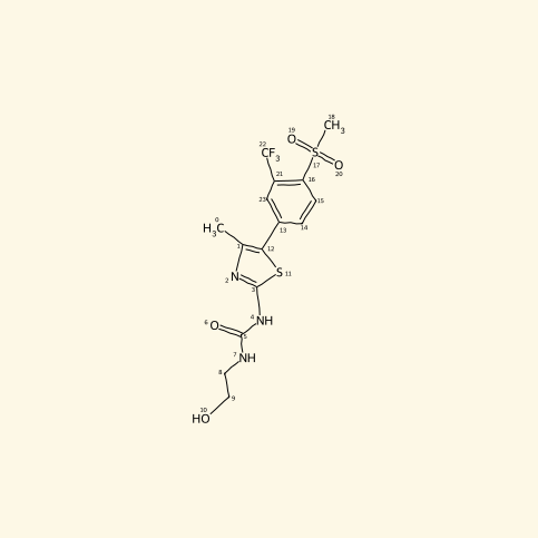 Cc1nc(NC(=O)NCCO)sc1-c1ccc(S(C)(=O)=O)c(C(F)(F)F)c1